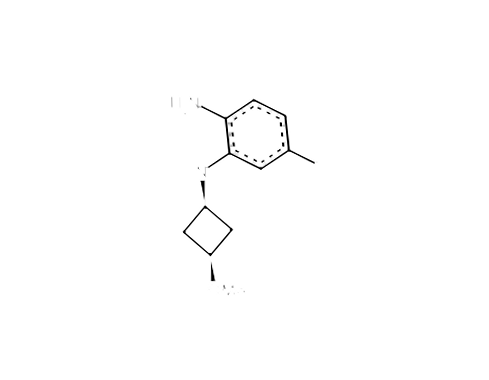 CO[C@H]1C[C@@H](Nc2cc(F)ccc2N)C1